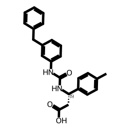 Cc1ccc([C@H](CC(=O)O)NC(=O)Nc2cccc(Cc3ccccc3)c2)cc1